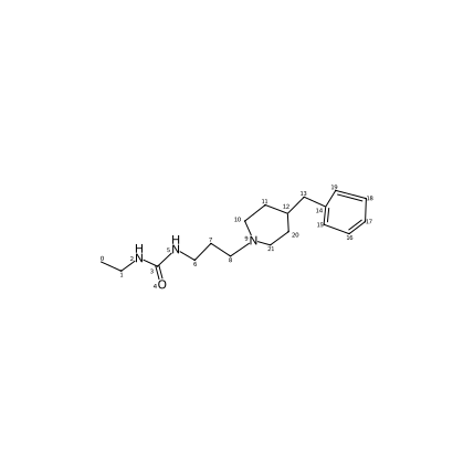 CCNC(=O)NCCCN1CCC(Cc2ccccc2)CC1